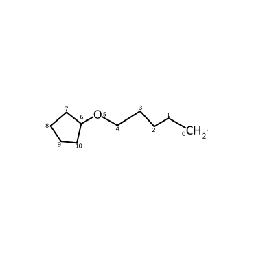 [CH2]CCCCOC1CCCC1